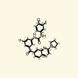 O=C(Nc1cc(F)cc(C(=O)c2ccc3ncc(N4CCCC4)nc3c2)c1)Nc1ccc(Cl)c(F)c1